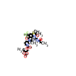 CCC(=O)NCCN1C(=O)C(C)(C)Sc2cc(C(F)(F)F)c(C(=O)N(C(C)C)[C@@H]3CCCN(C(=O)OCc4oc(=O)oc4C)C3)cc21